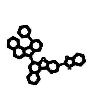 c1ccc(-c2cccc3c2c2c4ccccc4ccc2n3-c2cc3ccccc3c3c2oc2cc(-c4nc5ccccc5o4)ccc23)cc1